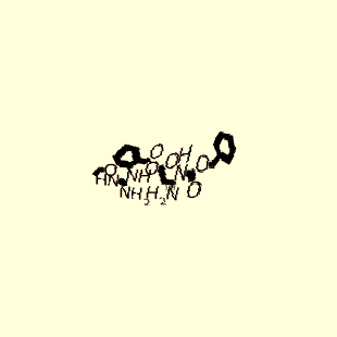 CCOc1cccc(C(=O)OC(=O)C[C@@H](N)NC(=O)OCc2ccccc2)c1NC(=N)N